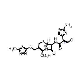 Cc1nnc(SCC2=C(C(=O)O)N3C(=O)C(NC(=O)/C(=C/Cl)c4csc(N)n4)[C@H]3SC2)s1